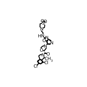 C[C@H]1c2c(Cl)cc(Cl)cc2CCN1C(=O)[C@H]1CN(c2cncc3nc(NCCN4CCS(=O)(=O)CC4)oc23)CCO1